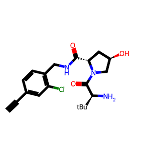 C#Cc1ccc(CNC(=O)[C@@H]2C[C@@H](O)CN2C(=O)[C@@H](N)C(C)(C)C)c(Cl)c1